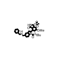 COc1cc(-c2cc3cc(CNCc4ccccc4)ccc3n2C(=O)OC(C)(C)C)c2c(c1OS(C)(=O)=O)CNC2=O